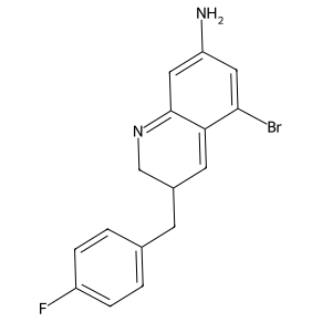 Nc1cc(Br)c2c(c1)=NCC(Cc1ccc(F)cc1)C=2